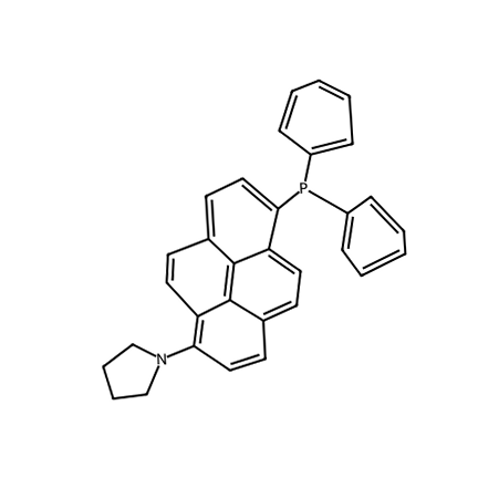 c1ccc(P(c2ccccc2)c2ccc3ccc4c(N5CCCC5)ccc5ccc2c3c54)cc1